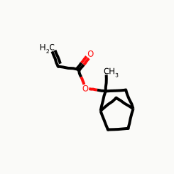 C=CC(=O)OC1(C)CC2CCC1C2